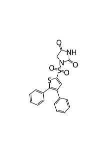 O=C1CN(S(=O)(=O)c2cc(-c3ccccc3)c(-c3ccccc3)s2)C(=O)N1